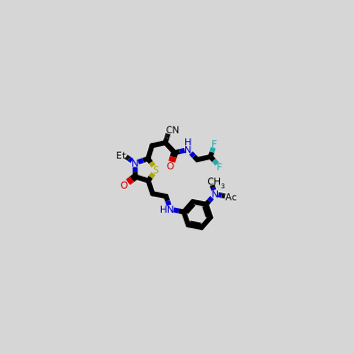 CCN1C(=O)C(CCNc2cccc(N(C)C(C)=O)c2)SC1CC(C#N)C(=O)NCC(F)F